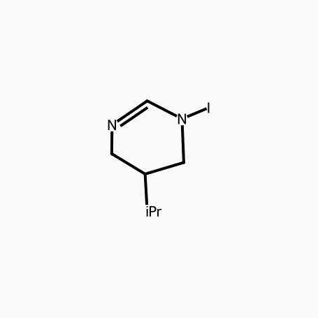 CC(C)C1CN=CN(I)C1